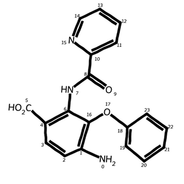 Nc1ccc(C(=O)O)c(NC(=O)c2ccccn2)c1Oc1ccccc1